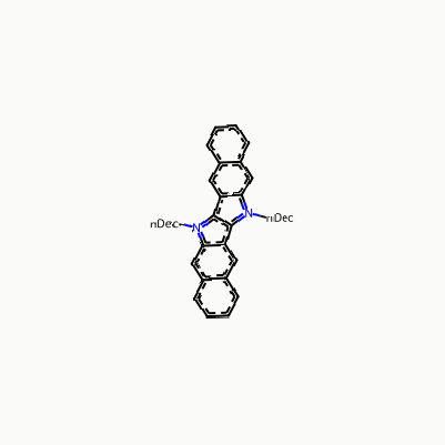 CCCCCCCCCCn1c2cc3ccccc3cc2c2c1c1cc3ccccc3cc1n2CCCCCCCCCC